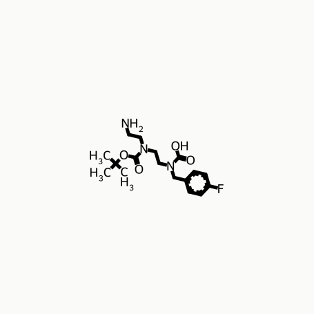 CC(C)(C)OC(=O)N(CCN)CCN(Cc1ccc(F)cc1)C(=O)O